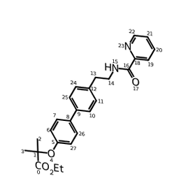 CCOC(=O)C(C)(C)Oc1ccc(-c2ccc(CCNC(=O)c3ccccn3)cc2)cc1